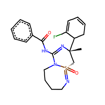 C[C@@]1(C2CC=CC=C2F)C[S@]2(=O)=NCCCCN2C(NC(=O)c2ccccc2)=N1